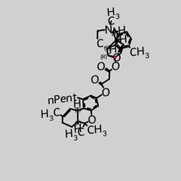 CCCCCc1cc(OC(=O)CC(=O)OC2C=C[C@H]3[C@H]4Cc5ccc(C)c6c5[C@@]3(CCCN4C)[C@H]2O6)cc2c1[C@@H]1C=C(C)CC[C@H]1C(C)(C)O2